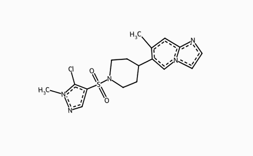 Cc1cc2nccn2cc1C1CCN(S(=O)(=O)c2cnn(C)c2Cl)CC1